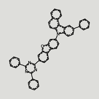 c1ccc(-c2ccc3c(c2)c2c4ccccc4ccc2n3-c2ccc3c(c2)oc2cc(-c4nc(-c5ccccc5)nc(-c5ccccc5)n4)ccc23)cc1